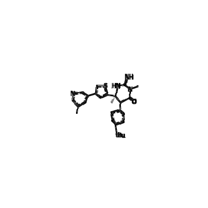 Cc1cncc(-c2csc([C@@]3(C)NC(=N)N(C)C(=O)C3c3ccc(C(C)(C)C)cc3)c2)c1